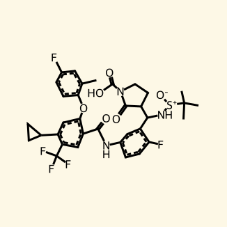 Cc1cc(F)ccc1Oc1cc(C2CC2)c(C(F)(F)F)cc1C(=O)Nc1ccc(F)c(C(N[S+]([O-])C(C)(C)C)C2CCN(C(=O)O)C2=O)c1